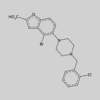 O=C(O)c1cc2c(Br)c(N3CCN(Cc4ccccc4Cl)CC3)ccc2o1